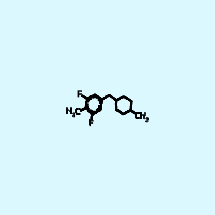 Cc1c(F)cc(CC2CCC(C)CC2)cc1F